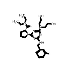 CCN(CC)C(=O)[C@H]1CCCN1c1nc(NCc2cccc(F)c2)nc(N(CCO)CCO)n1